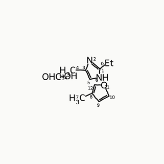 CCc1nc(C)c[nH]1.Cc1ccoc1.O=CO